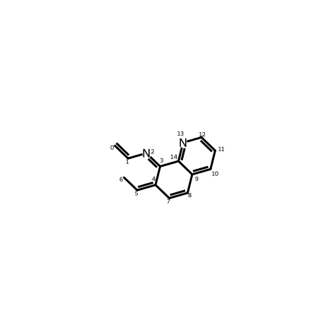 C=C/N=C1\C(=C/C)C=Cc2cccnc21